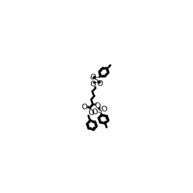 Cc1ccc(S(=O)(=O)OCCCCC(OS(=O)(=O)c2ccc(C)cc2)C(=O)OCc2ccccc2)cc1